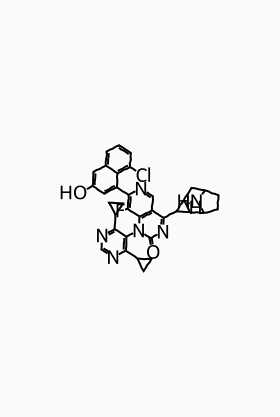 O=c1nc(C2C3C4CCC(C[C@H]23)N4)c2cnc(-c3cc(O)cc4cccc(Cl)c34)c(F)c2n1-c1c(C2CC2)ncnc1C1CC1